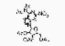 CC(=O)OCC1OC(n2cnc3c(N(C(C)=O)C(C)=O)nc([N+](=O)[O-])nc32)C(OC(C)=O)C1OC(C)=O